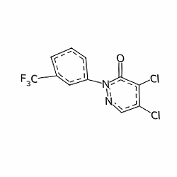 O=c1c(Cl)c(Cl)cnn1-c1cccc(C(F)(F)F)c1